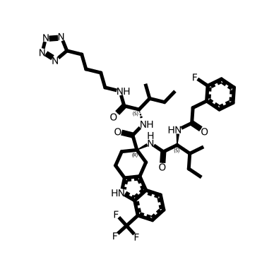 CCC(C)[C@H](NC(=O)Cc1ccccc1F)C(=O)N[C@]1(C(=O)N[C@H](C(=O)NCCCCC2N=NN=N2)C(C)CC)CCc2[nH]c3c(C(F)(F)F)cccc3c2C1